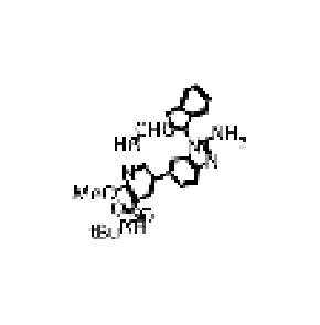 COc1ncc(-c2ccc3nc(N)n(C4CCc5ccccc54)c3c2)cc1S(=O)(=O)NC(C)(C)C.O=CO